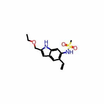 C=Cc1cc2cc(COCC)[nH]c2cc1NS(C)(=O)=O